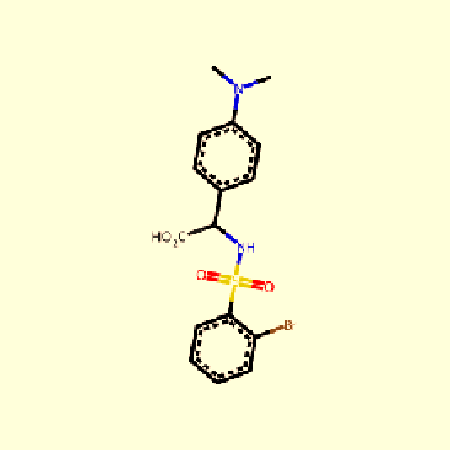 CN(C)c1ccc(C(NS(=O)(=O)c2ccccc2Br)C(=O)O)cc1